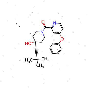 CC(C)(C)C#CC1(O)CCN(C(=O)c2cc(Oc3ccccc3)ccn2)CC1